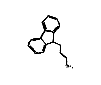 NCCCC1c2ccccc2-c2ccccc21